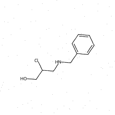 OCC(Cl)CNCc1ccccc1